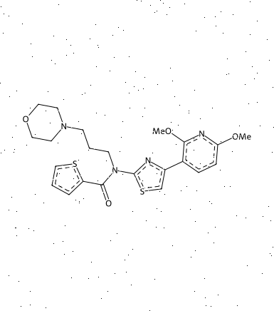 COc1ccc(-c2csc(N(CCCN3CCOCC3)C(=O)c3cccs3)n2)c(OC)n1